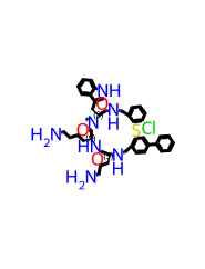 CN1C(=O)[C@H](CCCCN)NC(=O)[C@H](CCCN)NCc2ccc(-c3ccccc3)cc2Sc2c(Cl)cccc2CNC(=O)[C@@H]1Cc1c[nH]c2ccccc12